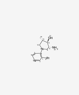 CC(C)c1cnccc1N1C[C@@H](N)[C@H](O)[C@@H](C)C1